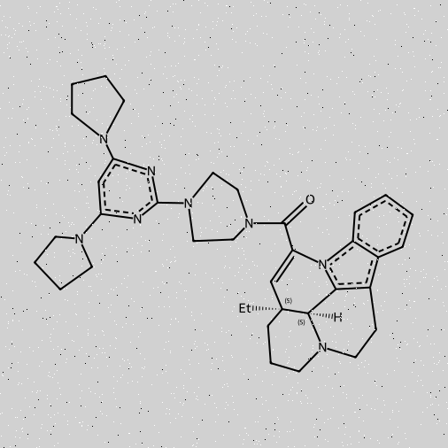 CC[C@@]12C=C(C(=O)N3CCN(c4nc(N5CCCC5)cc(N5CCCC5)n4)CC3)n3c4c(c5ccccc53)CCN(CCC1)[C@H]42